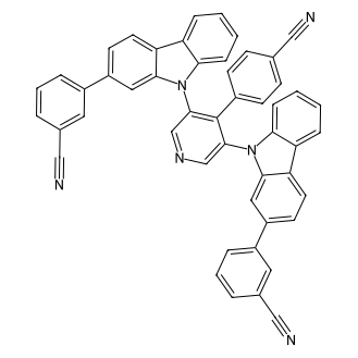 N#Cc1ccc(-c2c(-n3c4ccccc4c4ccc(-c5cccc(C#N)c5)cc43)cncc2-n2c3ccccc3c3ccc(-c4cccc(C#N)c4)cc32)cc1